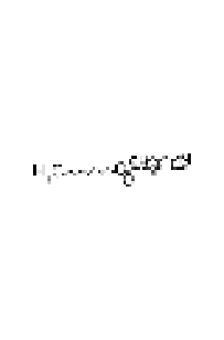 CCCCCCCCCCOC(=O)/C(C)=C/c1ccc(Cc2cccnc2)cc1